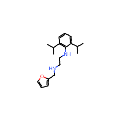 CC(C)c1cccc(C(C)C)c1NCCNCc1ccco1